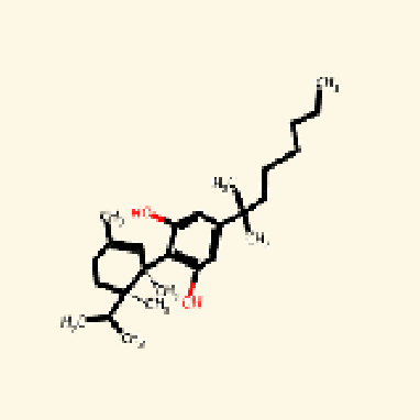 CCCCCCC(C)(C)c1cc(O)c([C@]2(C)C=C(C)CC[C@]2(C)C(C)C)c(O)c1